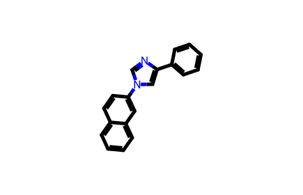 c1ccc(-c2cn(-c3ccc4ccccc4c3)cn2)cc1